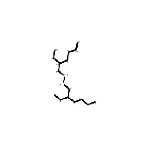 CCCCC(CC)CSSCC(CC)CCCC